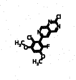 COc1cc(OC)c(Cl)c(-c2cc3cnc(Cl)nc3cn2)c1F